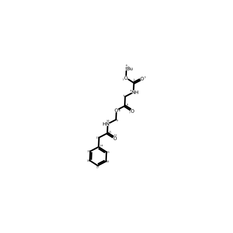 CC(C)(C)OC(=O)NCC(=O)OCNC(=O)Cc1ccccc1